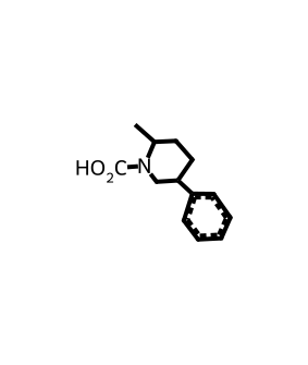 CC1CCC(c2ccccc2)CN1C(=O)O